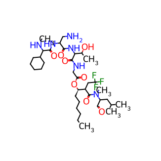 CCCCCC[C@@H](OC(=O)CNC(=O)C(NC(=O)C(CN)NC(=O)C(NC)C1CCCCC1)C(C)O)C(CC(F)(F)F)C(=O)N(C)C(C=O)CC(C)C